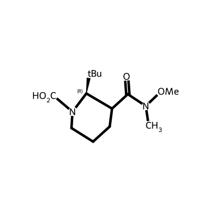 CON(C)C(=O)C1CCCN(C(=O)O)[C@H]1C(C)(C)C